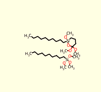 CCCCCCCCCC[Si](OC)(OC)OC.CCCCCCCCCC[Si]1(OC)CCCC(OC)(OC)O1